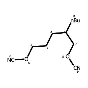 CCCCC(CCCOC#N)COC#N